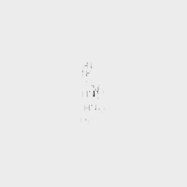 COC(=O)CCNC(=O)[C@@H]1O[P@@](=O)(N[C@H](C)C(=O)OCc2cnccn2)OCC1(C)C